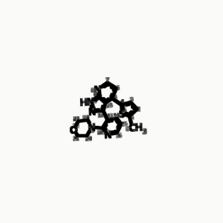 Cc1ccc(-c2ccnc3[nH]nc(-c4cccnc4N4CCOCC4)c23)s1